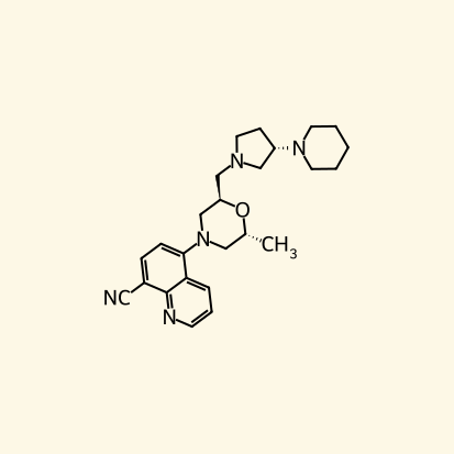 C[C@@H]1CN(c2ccc(C#N)c3ncccc23)C[C@@H](CN2CC[C@H](N3CCCCC3)C2)O1